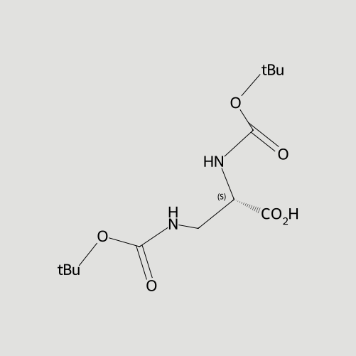 CC(C)(C)OC(=O)NC[C@H](NC(=O)OC(C)(C)C)C(=O)O